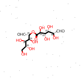 O=C[C@H](OC(=O)[C@@H](O)[C@@H](O)[C@H](O)[C@@H](O)C=O)[C@@H](O)[C@H](O)[C@H](O)CO